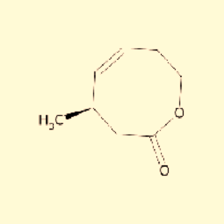 C[C@H]1/C=C\CCOC(=O)C1